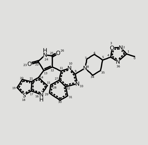 Cc1noc(C2CCN(c3nc(C4=C(c5c[nH]c6sccc56)C(=O)NC4=O)c4ccccc4n3)CC2)n1